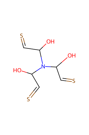 OC(C=S)N(C(O)C=S)C(O)C=S